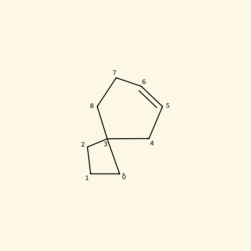 [CH]1CCC12CC=CCC2